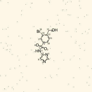 O=S(=O)(Nc1ncns1)c1ccc(CO)c(Br)c1